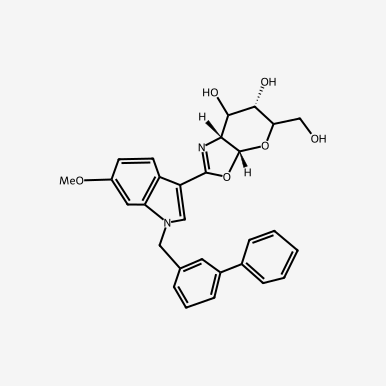 COc1ccc2c(C3=N[C@@H]4C(O)[C@H](O)C(CO)O[C@@H]4O3)cn(Cc3cccc(-c4ccccc4)c3)c2c1